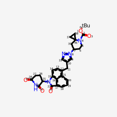 CC(C)(C)OC(=O)N1CCC(n2cc(Cc3ccc4c5c(cccc35)C(=O)N4C3CCC(=O)NC3=O)cn2)CC12CC2